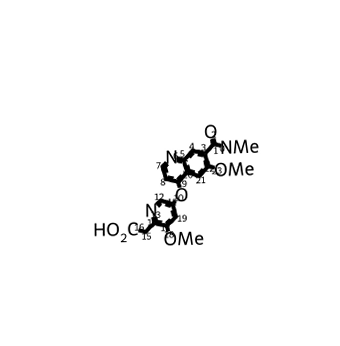 CNC(=O)c1cc2nccc(Oc3cnc(CC(=O)O)c(OC)c3)c2cc1OC